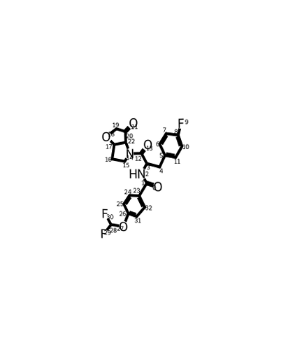 O=C(NC(Cc1ccc(F)cc1)C(=O)N1CCC2OCC(=O)C21)c1ccc(OC(F)F)cc1